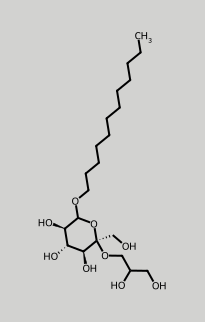 CCCCCCCCCCCCOC1O[C@@](CO)(OCC(O)CO)[C@@H](O)[C@H](O)[C@H]1O